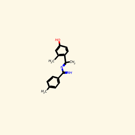 C/C(=N\C(=N)c1ccc(C)cc1)c1ccc(O)cc1C